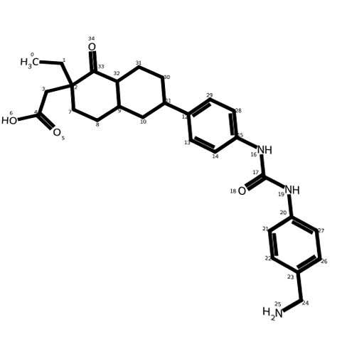 CCC1(CC(=O)O)CCC2CC(c3ccc(NC(=O)Nc4ccc(CN)cc4)cc3)CCC2C1=O